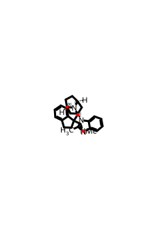 CNCC1(CN2[C@@H]3CC[C@H]2C[C@@H](n2c(C)nc4ccccc42)C3)CCc2ccccc21